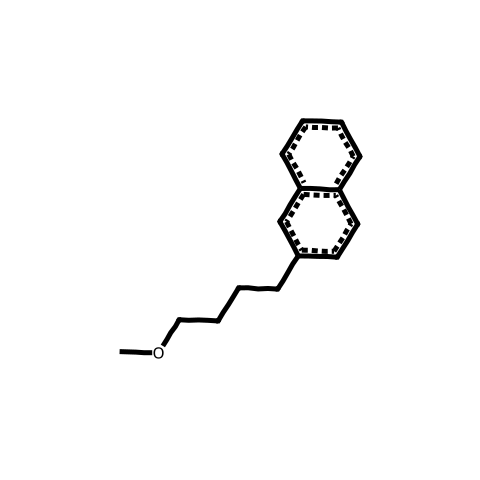 COCCCCc1ccc2ccccc2c1